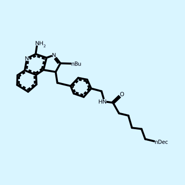 CCCCCCCCCCCCCCCC(=O)NCc1ccc(CC2C(CCCC)=Nc3c(N)nc4ccccc4c32)cc1